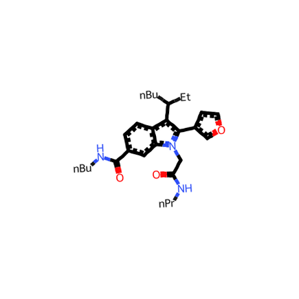 CCCCNC(=O)c1ccc2c(C(CC)CCCC)c(-c3ccoc3)n(CC(=O)NCCC)c2c1